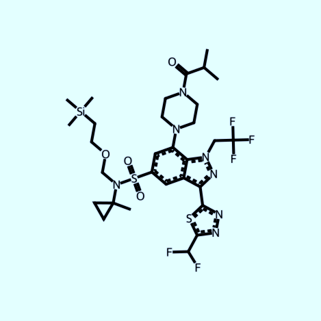 CC(C)C(=O)N1CCN(c2cc(S(=O)(=O)N(COCC[Si](C)(C)C)C3(C)CC3)cc3c(-c4nnc(C(F)F)s4)nn(CC(F)(F)F)c23)CC1